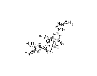 COc1cc(-c2cnn(C)c2)cn2ncc(-c3cnn(-c4nc(C)c(C)s4)c3C)c12